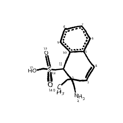 CC1(N)C=Cc2ccccc2C1S(=O)(=O)O